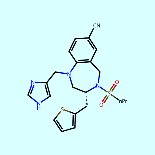 CCCS(=O)(=O)N1Cc2cc(C#N)ccc2N(Cc2c[nH]cn2)C[C@H]1Cc1cccs1